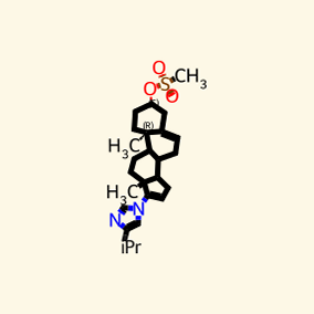 CC(C)c1cn(C2=CCC3C4CC=C5C[C@@H](OS(C)(=O)=O)CC[C@]5(C)C4CCC23C)cn1